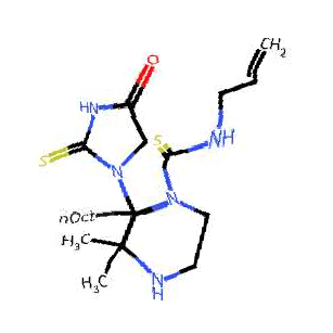 C=CCNC(=S)N1CCNC(C)(C)C1(CCCCCCCC)N1CC(=O)NC1=S